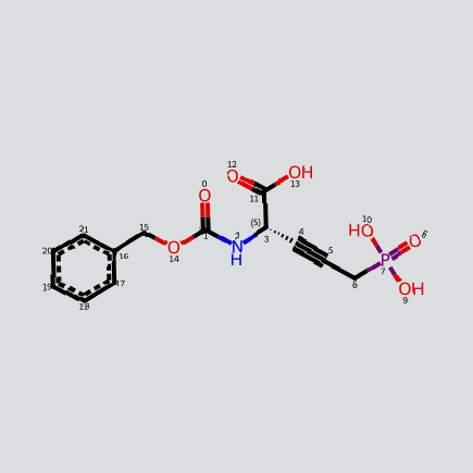 O=C(N[C@@H](C#CCP(=O)(O)O)C(=O)O)OCc1ccccc1